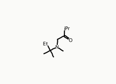 CCC(C)(C)N(C)CC(=O)C(C)C